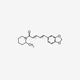 CC1CCCCN1C(=O)/C=C/C=C/c1ccc2c(c1)OCO2